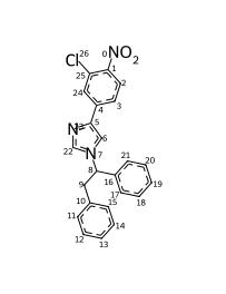 O=[N+]([O-])c1ccc(-c2cn(C(Cc3ccccc3)c3ccccc3)cn2)cc1Cl